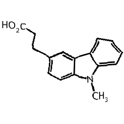 Cn1c2ccccc2c2cc(CCC(=O)O)ccc21